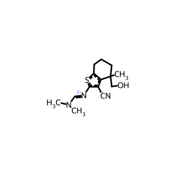 CN(C)/C=N/c1sc2c(c1C#N)C(C)(CO)CCC2